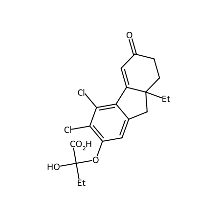 CCC12CCC(=O)C=C1c1c(cc(OC(O)(CC)C(=O)O)c(Cl)c1Cl)C2